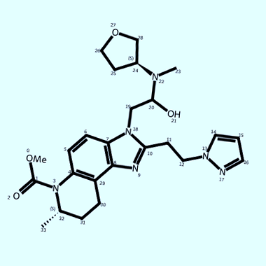 COC(=O)N1c2ccc3c(nc(CCn4cccn4)n3CC(O)N(C)[C@H]3CCOC3)c2CC[C@@H]1C